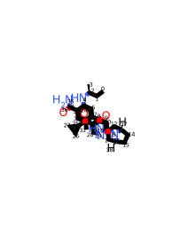 CC[C@H](C)Nc1cc(C(=O)N[C@H]2C[C@H]3CC[C@@H](C2)N3c2ccc(C(=O)C3CC3)cn2)c(C)cc1C(N)=O